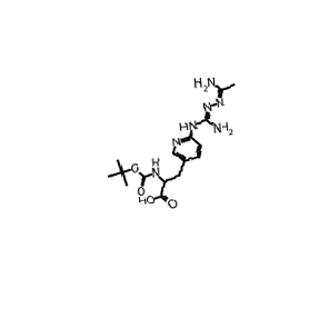 C/C(N)=N/N=C(\N)Nc1ccc(CC(NC(=O)OC(C)(C)C)C(=O)O)cn1